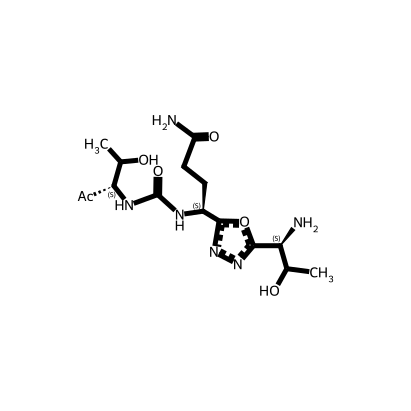 CC(=O)[C@@H](NC(=O)N[C@@H](CCC(N)=O)c1nnc([C@@H](N)C(C)O)o1)C(C)O